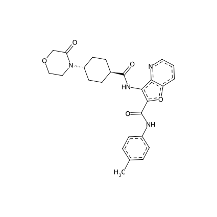 Cc1ccc(NC(=O)c2oc3cccnc3c2NC(=O)[C@H]2CC[C@H](N3CCOCC3=O)CC2)cc1